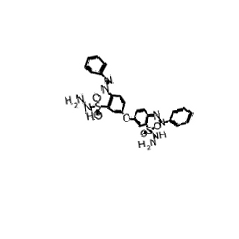 NNS(=O)(=O)c1cc(Oc2ccc(N=Nc3ccccc3)c(S(=O)(=O)NN)c2)ccc1N=Nc1ccccc1